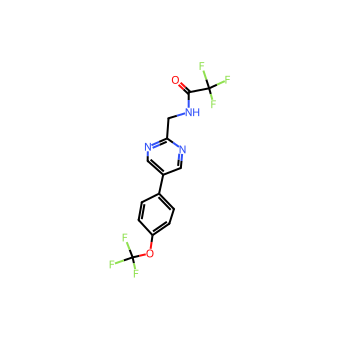 O=C(NCc1ncc(-c2ccc(OC(F)(F)F)cc2)cn1)C(F)(F)F